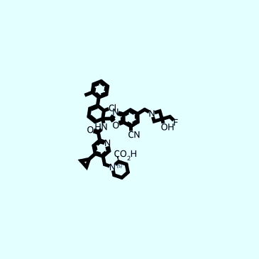 Cc1ccccc1C1=CC=CC(NC(=O)c2cc(C3CC3)c(CN3CCCC[C@H]3C(=O)O)cn2)(c2nc3cc(CN4CC(O)(CF)C4)cc(C#N)c3o2)C1Cl